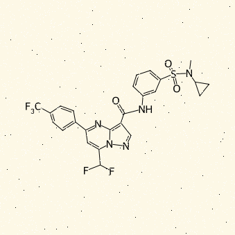 CN(C1CC1)S(=O)(=O)c1cccc(NC(=O)c2cnn3c(C(F)F)cc(-c4ccc(C(F)(F)F)cc4)nc23)c1